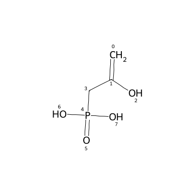 C=C(O)CP(=O)(O)O